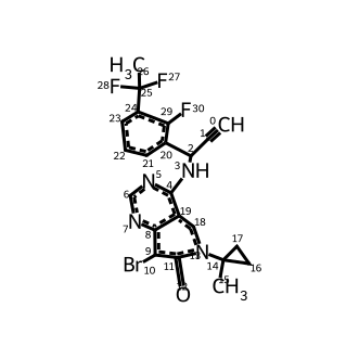 C#CC(Nc1ncnc2c(Br)c(=O)n(C3(C)CC3)cc12)c1cccc(C(C)(F)F)c1F